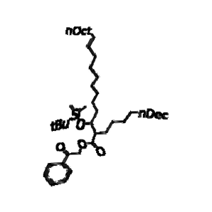 CCCCCCCCC=CCCCCCCCC(O[Si](C)(C)C(C)(C)C)C(CCCCCCCCCCCCCC)C(=O)OCC(=O)c1ccccc1